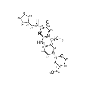 COc1cc(C2CN(C=O)CCO2)ccc1Nc1ncc(Cl)c(NCC2CCCC2)n1